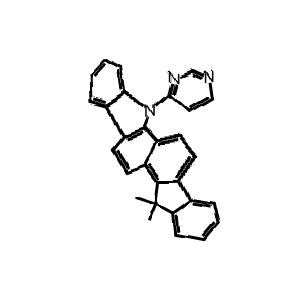 CC1(C)c2ccccc2-c2ccc3c(ccc4c5ccccc5n(-c5ccncn5)c34)c21